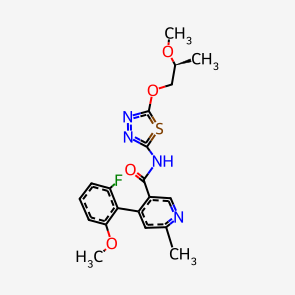 COc1cccc(F)c1-c1cc(C)ncc1C(=O)Nc1nnc(OC[C@H](C)OC)s1